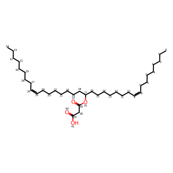 CCCCCCCC/C=C\CCCCCCCC(CCCCCCC/C=C\CCCCCCCC)OC(=O)CC(=O)O